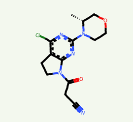 C[C@@H]1COCCN1c1nc(Cl)c2c(n1)N(C(=O)CC#N)CC2